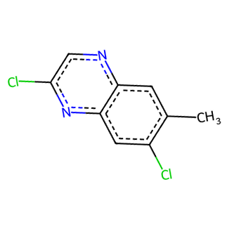 Cc1cc2ncc(Cl)nc2cc1Cl